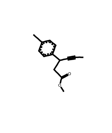 CC#CC(CC(=O)OC)c1ccc(C)cc1